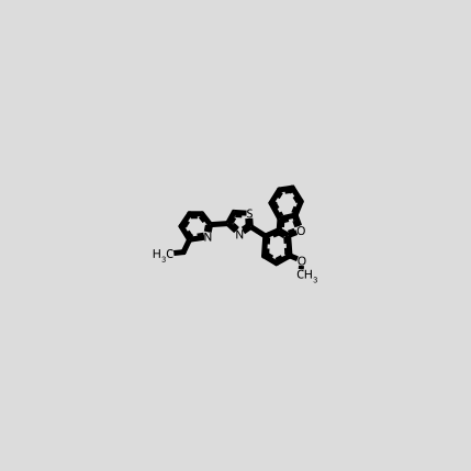 CCc1cccc(-c2csc(-c3ccc(OC)c4oc5ccccc5c34)n2)n1